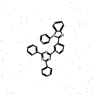 c1ccc(-c2nc(-c3ccccc3)nc(-c3cccc(-c4nc5ccccc5n4-c4ccccc4)c3)n2)cc1